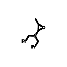 CC(C)CN(CC(C)C)C1OC1C